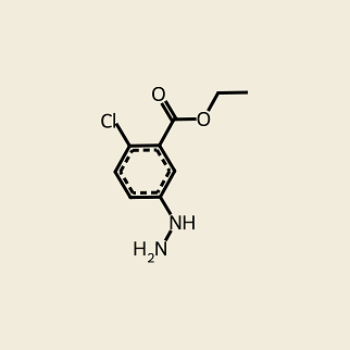 CCOC(=O)c1cc(NN)ccc1Cl